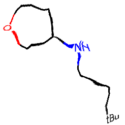 CC(C)(C)CCN[C@@H]1CCOC1